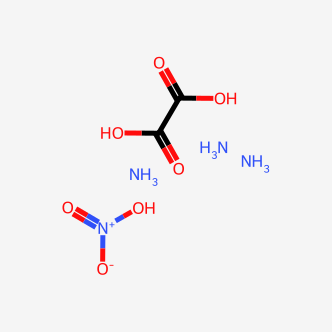 N.N.N.O=C(O)C(=O)O.O=[N+]([O-])O